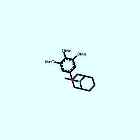 COc1cc(CN2C3CCCC2CC(C)C3)cc(OC)c1OC